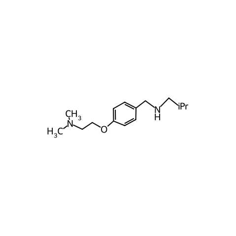 CC(C)CNCc1ccc(OCCN(C)C)cc1